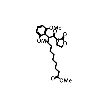 COC(=O)CCCCCCCCC(C(=O)N1CCOC1=O)c1c(OC)cccc1OC